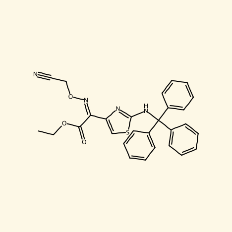 CCOC(=O)C(=NOCC#N)c1csc(NC(c2ccccc2)(c2ccccc2)c2ccccc2)n1